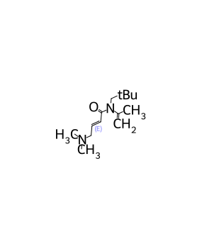 C=C(C)N(CC(C)(C)C)C(=O)/C=C/CN(C)C